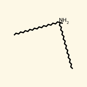 CCCCCCCCCCCCCCCCCCCCC(C)(N)CCCCCCCCCCCCCCCCCCCC